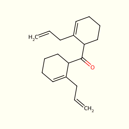 C=CCC1=CCCCC1C(=O)C1CCCC=C1CC=C